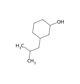 C[C](C)CC1CCCC(O)C1